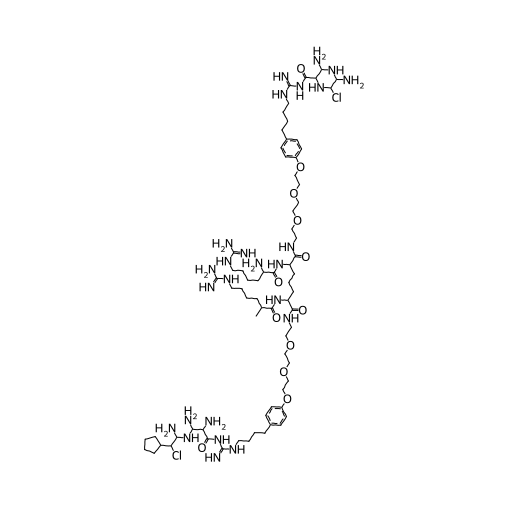 CC(CCCCNC(=N)N)C(=O)NC(CCCC(NC(=O)C(N)CCCCNC(=N)N)C(=O)NCCOCCOCCOc1ccc(CCCCNC(=N)NC(=O)C2NC(Cl)C(N)NC2N)cc1)C(=O)NCCOCCOCCOc1ccc(CCCCNC(=N)NC(=O)C(N)C(N)NC(N)C(Cl)C2CCCC2)cc1